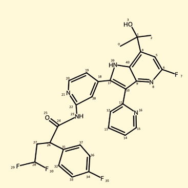 CC(C)(O)c1cc(F)nc2c(-c3ccccn3)c(-c3ccnc(NC(=O)C(CC(F)F)c4ccc(F)cc4)c3)[nH]c12